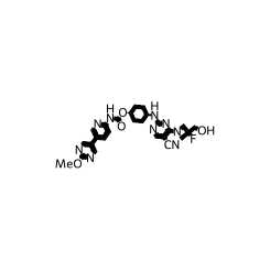 COc1ncc(-c2ccc(NC(=O)O[C@H]3CC[C@H](Nc4ncc(C#N)c(N5CC(F)(CO)C5)n4)CC3)nc2)cn1